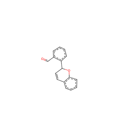 O=Cc1ccccc1C1C=Cc2ccccc2O1